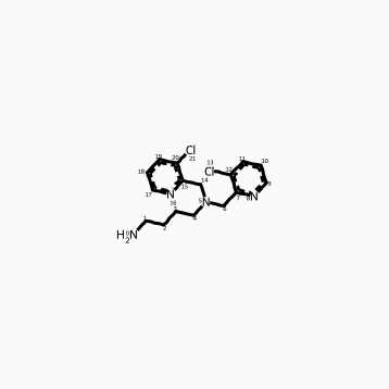 NCCCCN(Cc1ncccc1Cl)Cc1ncccc1Cl